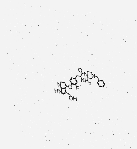 NC(Cc1ccc(Oc2ccnc3[nH]cc(CO)c23)c(F)c1)C(=O)N1CCN(Cc2ccccc2)CC1